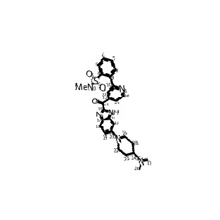 CNS(=O)(=O)c1ccccc1-c1cc(C(=O)c2nc3ccc(N4CCC(N(C)C)CC4)cc3[nH]2)ccn1